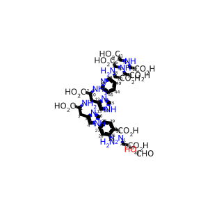 NC(Cc1c[nH]cn1)C(=O)O.NC(Cc1c[nH]cn1)C(=O)O.NCC(=O)O.NCC(=O)O.Nc1ccccc1C(=O)O.O=C(O)CNCC(=O)O.O=C(O)CNCC(=O)O.O=CO.c1ccncc1